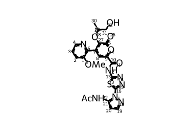 COc1cccnc1-c1cc(C(=O)Nc2nnc(-n3nccc3NC(C)=O)s2)oc(=O)c1O[C@@H](C)CO